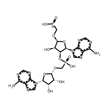 Nc1ncnc2c1ncn2[C@@H]1O[C@H](OCP(=O)(O)O[C@H]2[C@@H](O)[C@@H](OC[PH](=O)O)O[C@H]2n2cnc3c(N)ncnc32)[C@H](O)[C@@H]1O